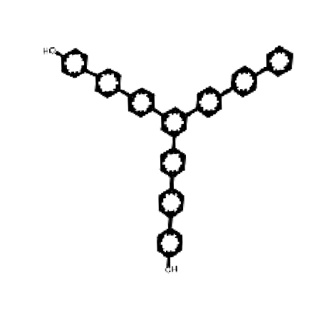 Oc1ccc(-c2ccc(-c3ccc(-c4cc(-c5ccc(-c6ccc(-c7ccccc7)cc6)cc5)cc(-c5ccc(-c6ccc(-c7ccc(O)cc7)cc6)cc5)c4)cc3)cc2)cc1